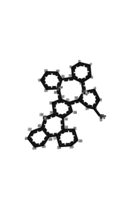 CC(C)c1cc[n+]2c3ccccc3c3cccc[n+]3c3cc4oc5ccccc5c5ccccc5c4cc3c2c1